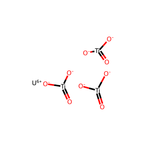 [O]=[Ti]([O-])[O-].[O]=[Ti]([O-])[O-].[O]=[Ti]([O-])[O-].[U+6]